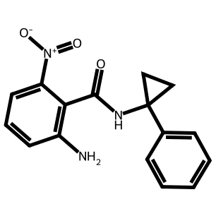 Nc1cccc([N+](=O)[O-])c1C(=O)NC1(c2ccccc2)CC1